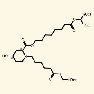 CCCCCCCCCCCOC(=O)CCCCCN1CC[C@H](O)C[C@H]1C(=O)OCCCCCCCC(=O)OC(CCCCCCCC)CCCCCCCC